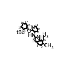 Cc1ccc2nc(Nc3cccnc3Oc3ccccc3C(C)(C)C)[nH]c2c1C